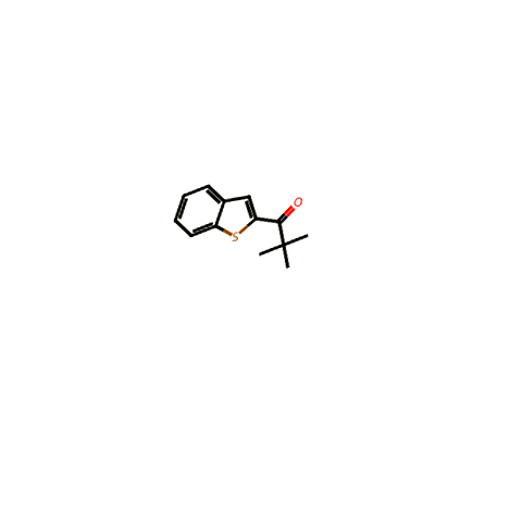 CC(C)(C)C(=O)c1cc2ccccc2s1